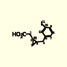 O=C(O)C[C@@H]1CC1Cc1cccc(I)c1